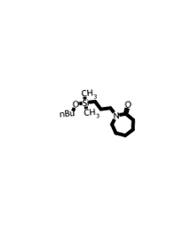 CCCCO[Si](C)(C)CCCN1CCCCCC1=O